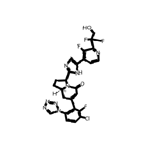 O=C1C=C(c2c(-n3cnnn3)ccc(Cl)c2F)C[C@H]2CCC(c3ncc(-c4ccnc(C(F)(F)CO)c4F)[nH]3)N12